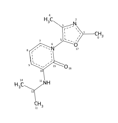 Cc1nc(C)c(-n2cccc(NC(C)C)c2=O)o1